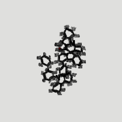 c1ccc(-c2cccc(N(c3cccc(-c4cccc5c4-c4ccccc4C54c5ccccc5-n5c6ccccc6c6cccc4c65)c3)c3ccccc3-c3ccccc3)c2)cc1